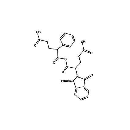 O=C(O)CCC(C(=O)OC(=O)C(CCC(=O)O)N1C(=O)c2ccccc2C1=O)c1ccccc1